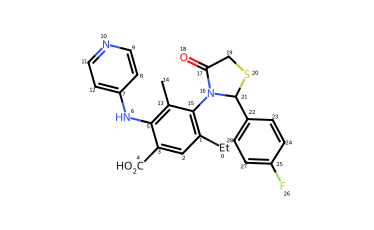 CCc1cc(C(=O)O)c(Nc2ccncc2)c(C)c1N1C(=O)CSC1c1ccc(F)cc1